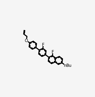 C=CCOc1ccc(-c2ccc(-c3ccc4cc(CCCC)ccc4c3F)cc2F)cc1